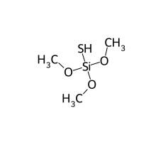 CO[Si](S)(OC)OC